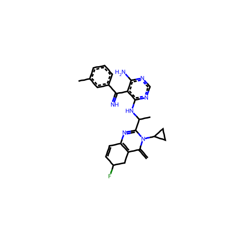 C=C1C2=C(C=CC(F)C2)N=C(C(C)Nc2ncnc(N)c2C(=N)c2cccc(C)c2)N1C1CC1